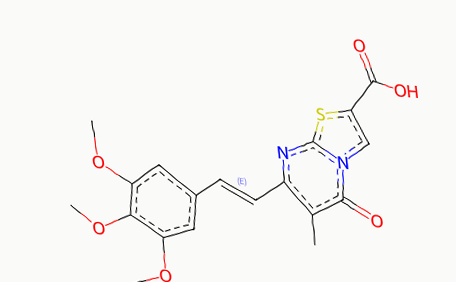 COc1cc(/C=C/c2nc3sc(C(=O)O)cn3c(=O)c2C)cc(OC)c1OC